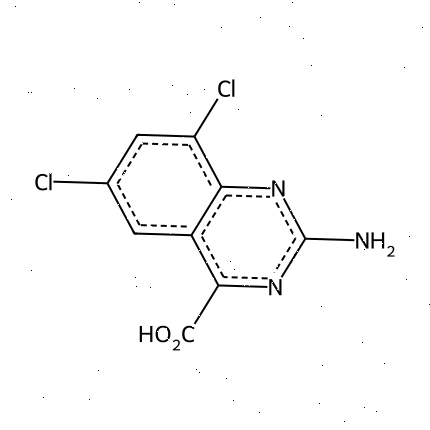 Nc1nc(C(=O)O)c2cc(Cl)cc(Cl)c2n1